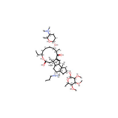 CCCN[C@@H]1C[C@@H]2[C@@H](C=C3C(=O)[C@H](C)[C@@H](O[C@H]4CC[C@H](N(C)C)C(C)O4)CCC[C@H](CC)OC(=O)C[C@H]32)[C@@H]2C[C@H](O[C@@H]3OC(C)[C@H](OC)C(OC)C3OC)C[C@H]21